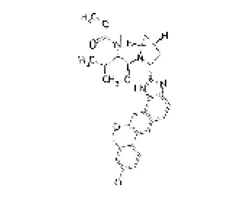 COC(=O)N[C@H](C(=O)N1[C@@H]2C[C@@H]2C[C@H]1c1nc2ccc3cc4c(cc3c2[nH]1)OCc1cc(Cl)ccc1-4)C(C)C